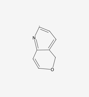 [c]1ccc2c(n1)C=COC2